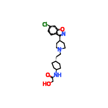 O=C(CO)N[C@H]1CC[C@H](CCN2CCC(c3noc4cc(Cl)ccc34)CC2)CC1